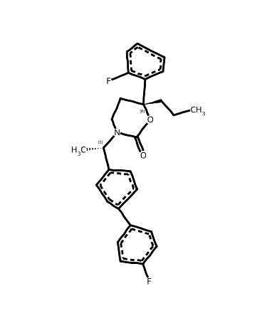 CCC[C@]1(c2ccccc2F)CCN([C@@H](C)c2ccc(-c3ccc(F)cc3)cc2)C(=O)O1